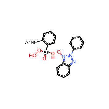 CC(=O)Nc1ccccc1[As](=O)(O)OO.[O-][n+]1c2ccccc2nn1-c1ccccc1